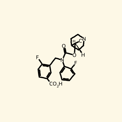 O=C(O)c1ccc(F)c(CN(C(=O)O[C@H]2CN3CCC2CC3)c2ccccc2F)c1